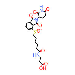 O=C(O)CCNC(=O)CCCCC[S+]([O-])c1cccc2c1C(=O)N(C1CCC(=O)NC1=O)C2=O